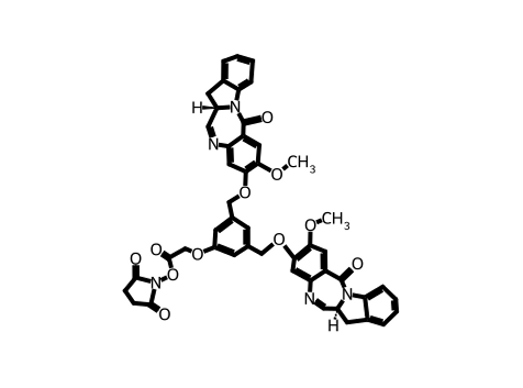 COc1cc2c(cc1OCc1cc(COc3cc4c(cc3OC)C(=O)N3c5ccccc5C[C@H]3C=N4)cc(OCC(=O)ON3C(=O)CCC3=O)c1)N=C[C@@H]1Cc3ccccc3N1C2=O